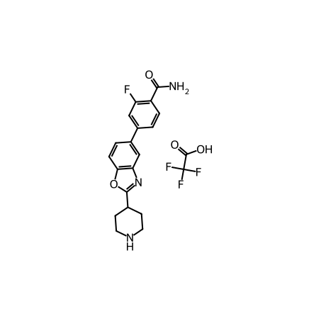 NC(=O)c1ccc(-c2ccc3oc(C4CCNCC4)nc3c2)cc1F.O=C(O)C(F)(F)F